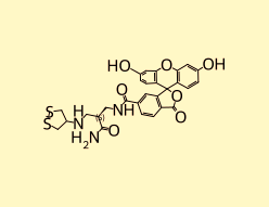 NC(=O)[C@H](CNC(=O)c1ccc2c(c1)C1(OC2=O)c2ccc(O)cc2Oc2cc(O)ccc21)CNC1CSSC1